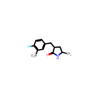 O=C1NC(C(F)(F)F)CC1Cc1ccc(F)c([N+](=O)[O-])c1